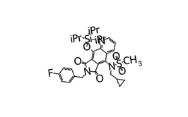 CC(C)[Si](Oc1c2c(c(N(CC3CC3)S(C)(=O)=O)c3cccnc13)C(=O)N(Cc1ccc(F)cc1)C2=O)(C(C)C)C(C)C